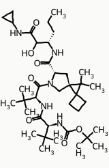 CCC[C@H](NC(=O)[C@@H]1C[C@@]2(CN1C(=O)[C@@H](NC(=O)[C@@H](NC(=O)OC(C)(C)C)C(C)(C)C)C(C)(C)C)C(C)(C)C21CCC1)C(O)C(=O)NC1CC1